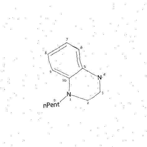 CCCCCN1CC[N]c2ccccc21